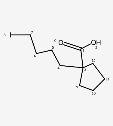 O=C(O)C1(CCCCI)CCCC1